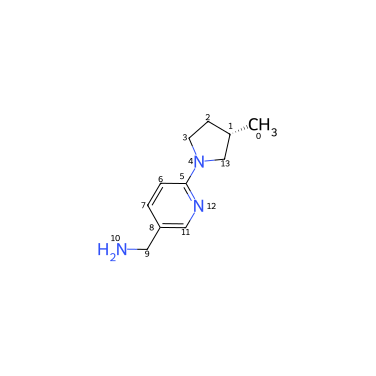 C[C@H]1CCN(c2ccc(CN)cn2)C1